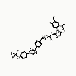 Cc1cc(N2C(=O)CS/C2=N\C(=S)N/N=C/c2ccc(-c3ncn(-c4ccc(OC(F)(F)F)cc4)n3)cc2)c(C(C)C)cc1F